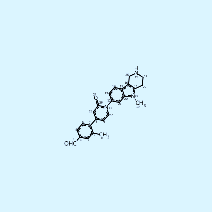 Cc1cc(C=O)ccc1-c1ccn(-c2ccc3c4c(n(C)c3c2)CCNC4)c(=O)c1